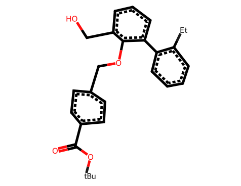 CCc1ccccc1-c1cccc(CO)c1OCc1ccc(C(=O)OC(C)(C)C)cc1